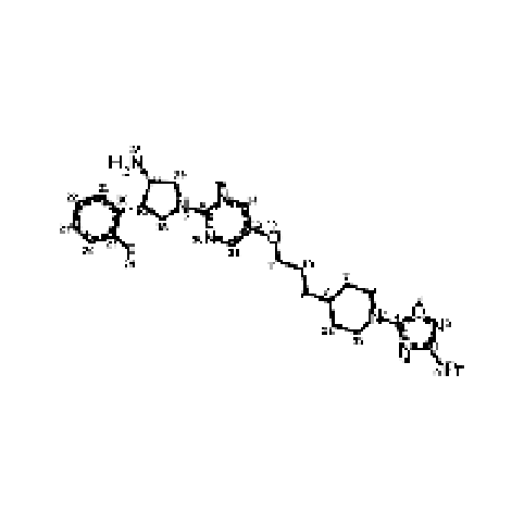 CC(C)c1noc(N2CCC(CCCOc3cnc(N4C[C@H](c5ccccc5F)[C@@H](N)C4)nc3)CC2)n1